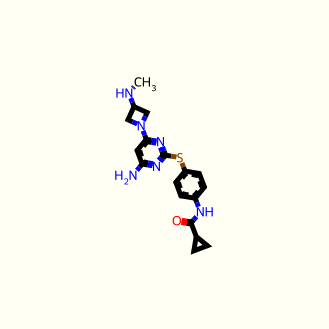 CNC1CN(c2cc(N)nc(Sc3ccc(NC(=O)C4CC4)cc3)n2)C1